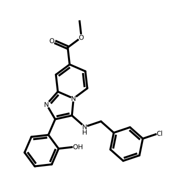 COC(=O)c1ccn2c(NCc3cccc(Cl)c3)c(-c3ccccc3O)nc2c1